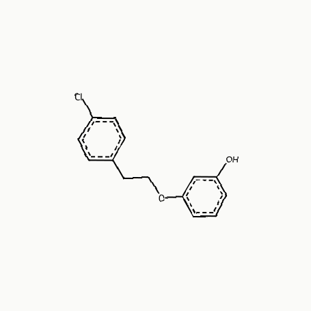 Oc1cccc(OCCc2ccc(Cl)cc2)c1